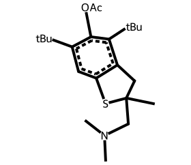 CC(=O)Oc1c(C(C)(C)C)cc2c(c1C(C)(C)C)CC(C)(CN(C)C)S2